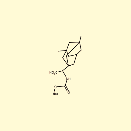 CC12CC3CC(C)(C1)CC(C(NC(=O)OC(C)(C)C)C(=O)O)(C3)C2